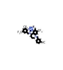 [C-]#[N+]c1cccc(CN2CCC[C@H](N(Cc3cc(C(F)(F)F)cc(C(F)(F)F)c3)c3nnn(C)n3)c3cc(C)c(C(F)(F)F)cc32)c1